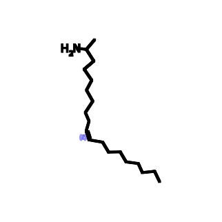 CCCCCCCC/C=C\CCCCCCCC(C)N